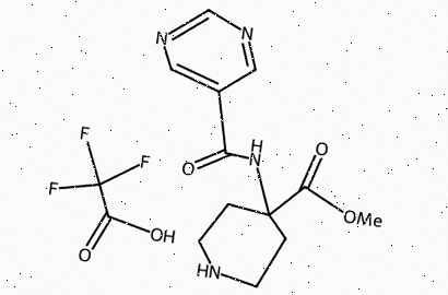 COC(=O)C1(NC(=O)c2cncnc2)CCNCC1.O=C(O)C(F)(F)F